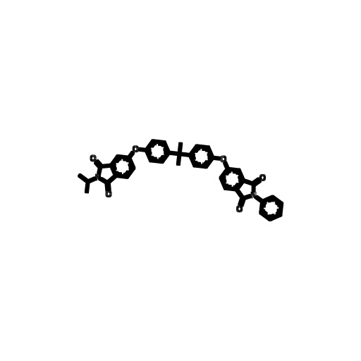 CC(C)N1C(=O)c2ccc(Oc3ccc(C(C)(C)c4ccc(Oc5ccc6c(c5)C(=O)N(c5ccccc5)C6=O)cc4)cc3)cc2C1=O